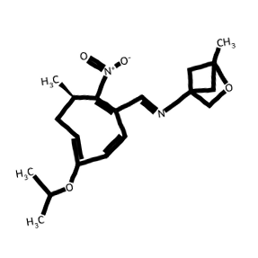 CC(C)OC1=C\C[C@@H](C)C([N+](=O)[O-])=C(/C=N/C23COC(C)(C2)C3)/C=C\1